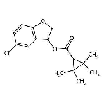 CC1(C)C(C(=O)OC2COc3ccc(Cl)cc32)C1(C)C